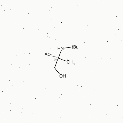 CC(=O)[C@](C)(CO)NC(C)(C)C